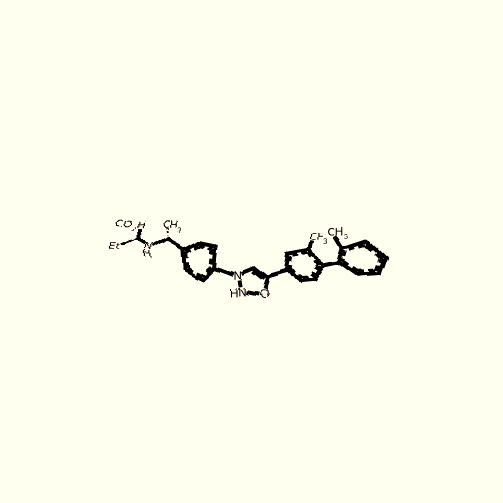 CC[C@H](N[C@H](C)c1ccc(N2C=C(c3ccc(-c4ccccc4C)c(C(F)(F)F)c3)ON2)cc1)C(=O)O